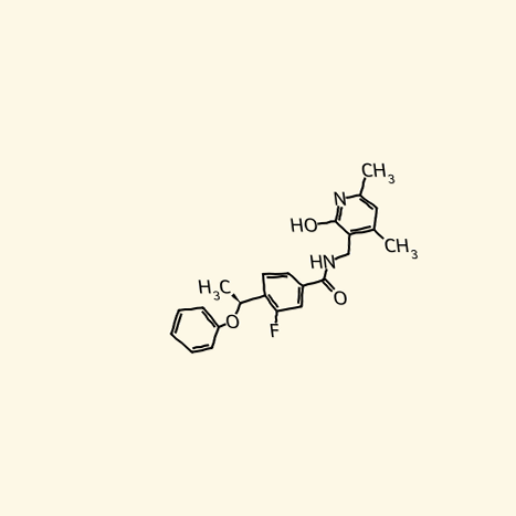 Cc1cc(C)c(CNC(=O)c2ccc([C@H](C)Oc3ccccc3)c(F)c2)c(O)n1